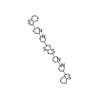 c1ccc2c(-c3ccc(-c4ccc(-c5cc6sc(-c7ccc(-c8ccc(-c9csc%10ccccc9%10)cn8)nc7)cc6s5)cn4)nc3)csc2c1